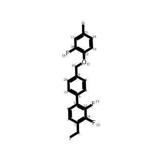 CCc1ccc(-c2ccc(COc3ccc(C)cc3F)cc2)c(F)c1F